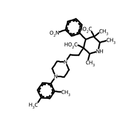 Cc1ccc(N2CCN(CCC3(C(=O)O)C(C)NC(C)C(C)(C(=O)O)C3c3cccc([N+](=O)[O-])c3)CC2)c(C)c1